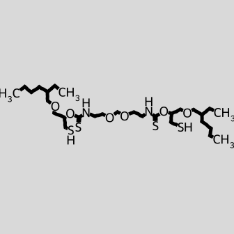 CCCCC(CC)COCC(CS)OC(=S)NCCOCOCCNC(=S)OC(CS)COCC(CC)CCCC